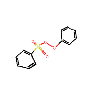 O=S(=O)(OOc1ccccc1)c1ccccc1